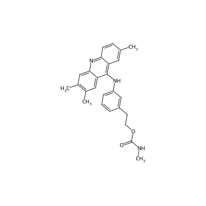 CNC(=O)OCCc1cccc(Nc2c3cc(C)ccc3nc3cc(C)c(C)cc23)c1